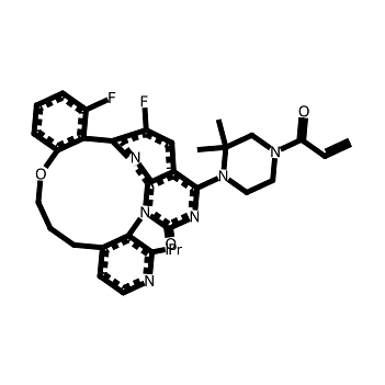 C=CC(=O)N1CCN(c2nc(=O)n3c4nc(c(F)cc24)-c2c(F)cccc2OCCCc2ccnc(C(C)C)c2-3)C(C)(C)C1